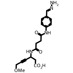 COCC#CC(CC(=O)O)NC(=O)CCC(=O)Nc1ccc(C=NN)cc1